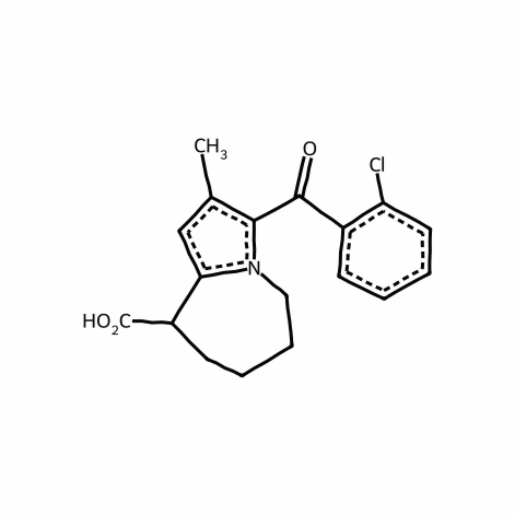 Cc1cc2n(c1C(=O)c1ccccc1Cl)CCCCC2C(=O)O